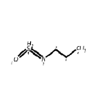 CCCN=[SH2]=O